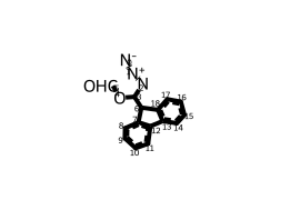 [N-]=[N+]=NC(OC=O)C1c2ccccc2-c2ccccc21